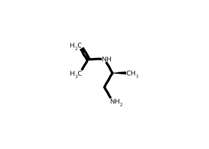 C=C(C)N[C@@H](C)CN